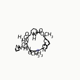 C[C@@H]1NC(=O)[C@H](CCn2cccn2)NC(=O)C(C)(C)/C=C/c2cc3cc(ccc3cn2)[C@@H](C)OC(=O)[C@@H]2CCCN(N2)C1=O